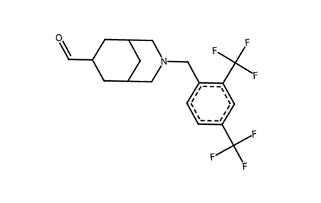 O=CC1CC2CC(C1)CN(Cc1ccc(C(F)(F)F)cc1C(F)(F)F)C2